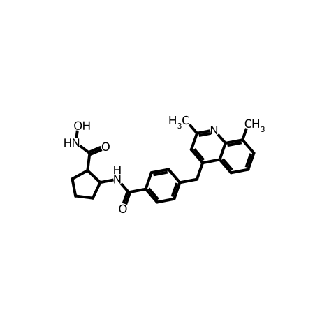 Cc1cc(Cc2ccc(C(=O)NC3CCCC3C(=O)NO)cc2)c2cccc(C)c2n1